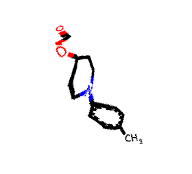 Cc1ccc(N2CCC(OC=O)CC2)cc1